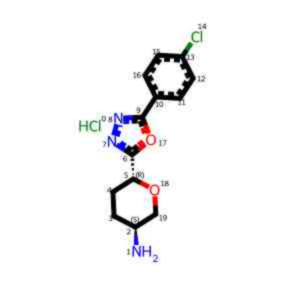 Cl.N[C@H]1CC[C@H](c2nnc(-c3ccc(Cl)cc3)o2)OC1